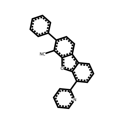 N#Cc1c(-c2ccccc2)ccc2c1oc1c(-c3ccccn3)cccc12